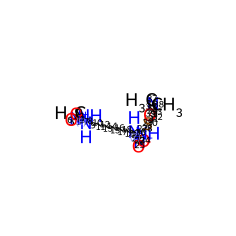 CN/C(=C\[N+](=O)[O-])NCCCCCCCCCCCCN/C(=C/[N+](=O)[O-])NCCSCc1ccc(CN(C)C)o1